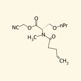 C=CCCC(=O)N(C)[C@@H](COCCC)C(=O)OCC#N